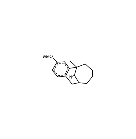 COc1ccc2c(c1)C1(C)CCCCC(C2)C1N